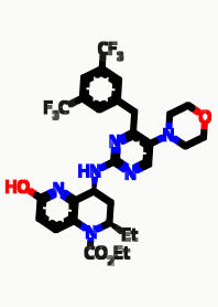 CCOC(=O)N1c2ccc(O)nc2[C@@H](Nc2ncc(N3CCOCC3)c(Cc3cc(C(F)(F)F)cc(C(F)(F)F)c3)n2)C[C@H]1CC